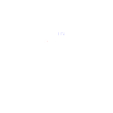 Cc1ccc2cc[nH]c(=O)c2c1C(C)(C)C